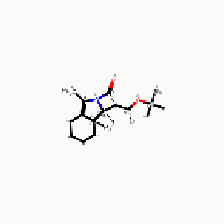 C[C@@H](O[Si](C)(C)C(C)(C)C)[C@H]1C(=O)N2C(C(=O)O)=C3CCCC[C@H]3[C@H]12